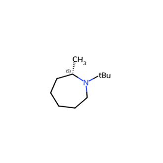 C[C@H]1CCCCCN1C(C)(C)C